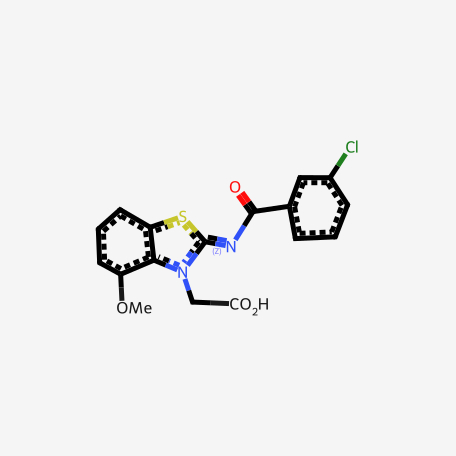 COc1cccc2s/c(=N\C(=O)c3cccc(Cl)c3)n(CC(=O)O)c12